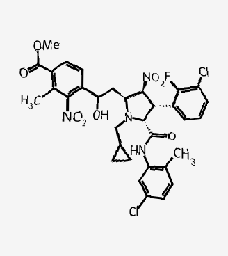 COC(=O)c1ccc(C(O)C[C@H]2[C@@H]([N+](=O)[O-])[C@H](c3cccc(Cl)c3F)[C@H](C(=O)Nc3cc(Cl)ccc3C)N2CC2CC2)c([N+](=O)[O-])c1C